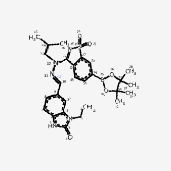 CCn1c(=O)[nH]c2ccc(/C=N/N(CC(C)C)C3=NS(=O)(=O)c4cc(B5OC(C)(C)C(C)(C)O5)ccc43)cc21